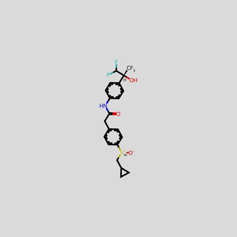 O=C(Cc1ccc([S@@+]([O-])CC2CC2)cc1)Nc1ccc([C@@](O)(C(F)F)C(F)(F)F)cc1